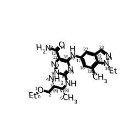 CCOC[C@H](N)[C@@H](C)Nc1nnc(C(N)=O)c(Nc2cc(C)c3c(cnn3CC)c2)n1